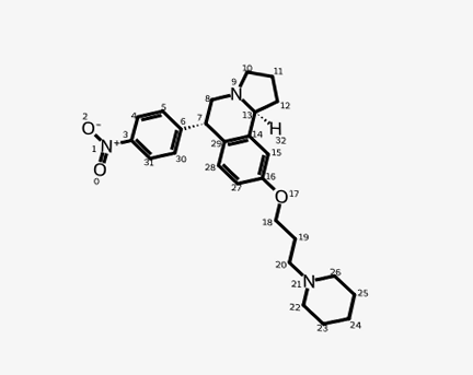 O=[N+]([O-])c1ccc([C@@H]2CN3CCC[C@H]3c3cc(OCCCN4CCCCC4)ccc32)cc1